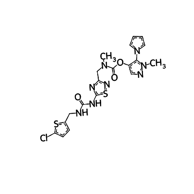 CN(Cc1nsc(NC(=O)NCc2ccc(Cl)s2)n1)C(=O)Oc1cnn(C)c1-n1cccc1